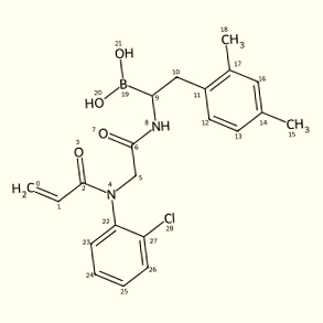 C=CC(=O)N(CC(=O)NC(Cc1ccc(C)cc1C)B(O)O)c1ccccc1Cl